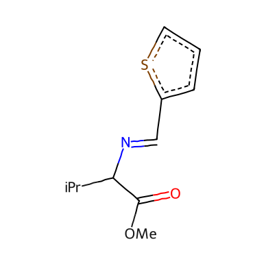 COC(=O)C(N=Cc1cccs1)C(C)C